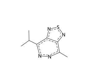 Cc1nnc(C(C)C)c2nsnc12